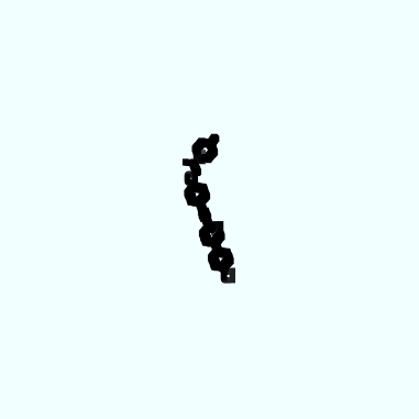 CC1CCN([C@H](C)COc2ccc(C#Cc3ccc(-c4ccc(Cl)cc4)cn3)cc2)CC1